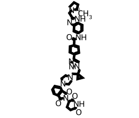 C[C@H]1CCCN1Cc1nc2cc(NC(=O)c3ccc(-c4cn(CC5(CN6CCN(c7cccc8c7C(=O)N(C7CCC(=O)NC7=O)C8=O)CC6)CC5)nn4)cc3)ccc2[nH]1